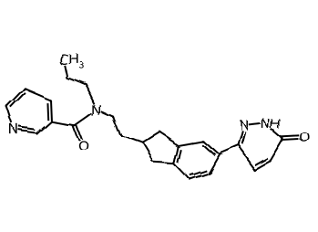 CCCN(CCC1Cc2ccc(-c3ccc(=O)[nH]n3)cc2C1)C(=O)c1cccnc1